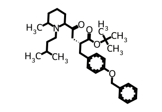 CC(C)CCN1C(C)CCCC1C(=O)C[C@@H](Cc1ccc(OCc2ccccc2)cc1)C(=O)OC(C)(C)C